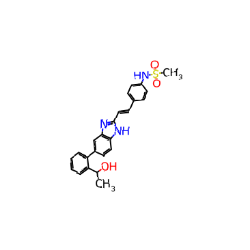 CC(O)c1ccccc1-c1ccc2[nH]c(C=Cc3ccc(NS(C)(=O)=O)cc3)nc2c1